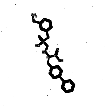 COc1cccc(OP(=O)(O)CN[C@@H](Cc2ccc(-c3ccccc3)cc2)C(=O)O)c1